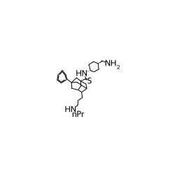 CCCNCCCC1C2CC3(C(=S)N[C@H]4CC[C@H](CN)CC4)CC1CC(c1ccccc1)(C2)C3